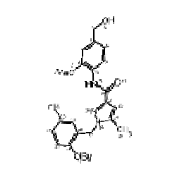 COc1cc(CO)ccc1NC(=O)c1cc(C)n(Cc2cc(Cl)ccc2OCC(C)C)n1